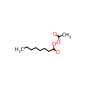 CCCCCCCC(=O)OOC(C)=O